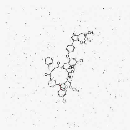 COC[C@@H]1NC(=O)[C@H](C)N(Cc2ccc(Cl)cc2Oc2ccc(-c3cnc(CN(C)C)n3C)cc2)C(=O)C[C@@H](Cc2ccccc2)C(=O)N2CCC[C@@](Cc3ccc(Cl)cc3)(C2)N(C)C1=O